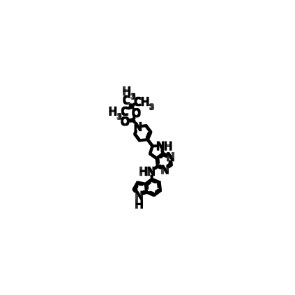 CC(C)(C)OC(=O)N1CC=C(C2Cc3c(Nc4cccc5[nH]ccc45)ncnc3N2)CC1